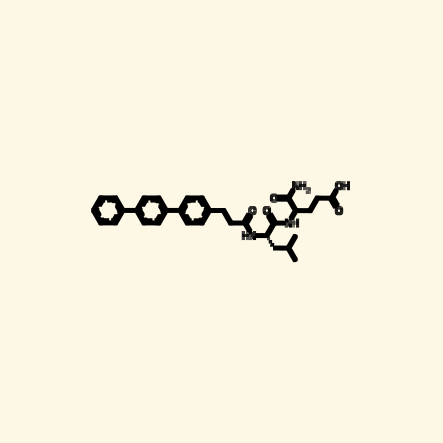 CC(C)C[C@H](NC(=O)CCc1ccc(-c2ccc(-c3ccccc3)cc2)cc1)C(=O)NC(CCC(=O)O)C(N)=O